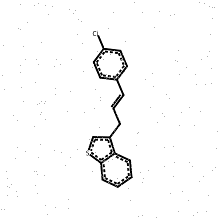 Clc1ccc(C=CCc2csc3ccccc23)cc1